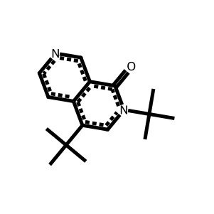 CC(C)(C)c1cn(C(C)(C)C)c(=O)c2cnccc12